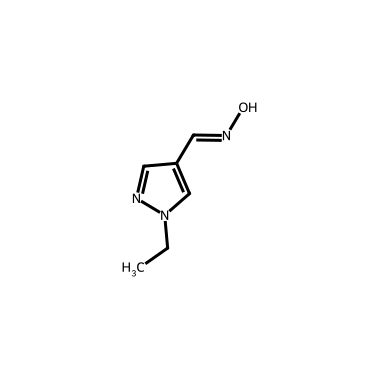 CCn1cc(C=NO)cn1